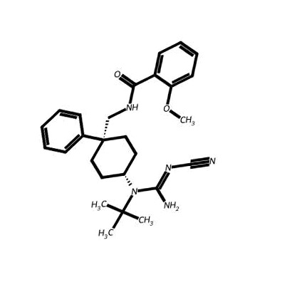 COc1ccccc1C(=O)NC[C@]1(c2ccccc2)CC[C@H](N(C(N)=NC#N)C(C)(C)C)CC1